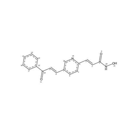 O=C(C=Cc1ccc(C=CC(=O)c2ccccc2)cn1)NO